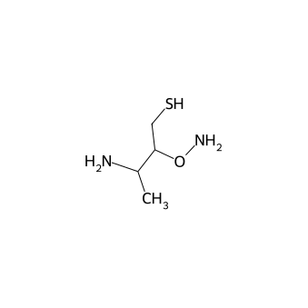 CC(N)C(CS)ON